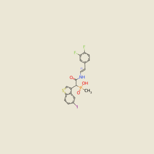 CP(=O)(O)C(C(=O)N/C=C/c1ccc(F)c(F)c1)c1csc2ccc(I)cc12